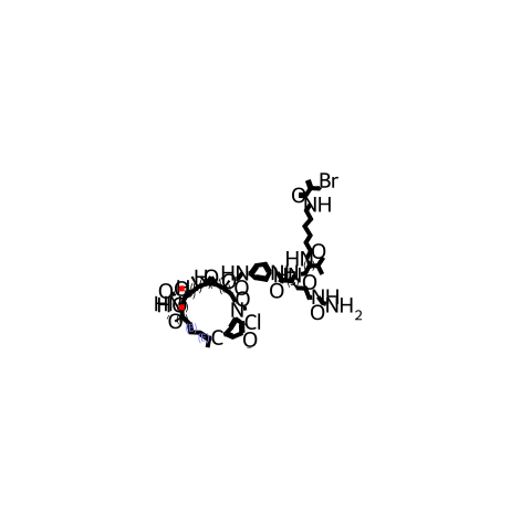 C=C(CBr)C(=O)NCCCCCC(=O)N[C@H](C(=O)N[C@@H](CCCNC(N)=O)C(=O)Nc1ccc(NC(=O)O[C@H]2CC(=O)N(C)c3cc(cc(OC)c3Cl)C/C(C)=C/C=C/[C@@H](OC)[C@@]3(O)C[C@H](OC(=O)N3)[C@@H](C)[C@@H]3O[C@@]23C)cc1)C(C)C